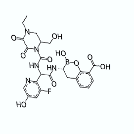 CCN1CC(CO)N(C(=O)NC(C(=O)N[C@H]2Cc3cccc(C(=O)O)c3OB2O)c2ncc(O)cc2F)C(=O)C1=O